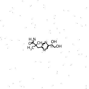 CC(C)(Cc1cnc([C@H](O)CO)cn1)C(N)=O